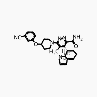 Cc1c(N2CCC(Oc3cccc(C#N)c3)CC2)nnc(C(N)=O)c1[C@@H]1CCC=C2C=CC=N[C@H]21